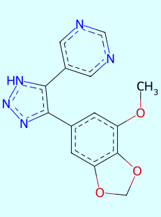 COc1cc(-c2nn[nH]c2-c2cncnc2)cc2c1OCO2